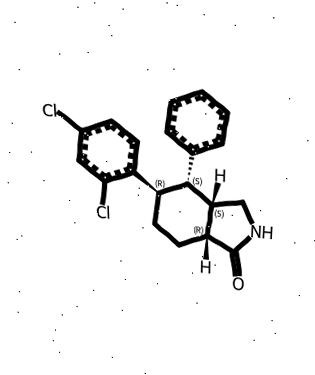 O=C1NC[C@H]2[C@@H](c3ccccc3)[C@H](c3ccc(Cl)cc3Cl)CC[C@@H]12